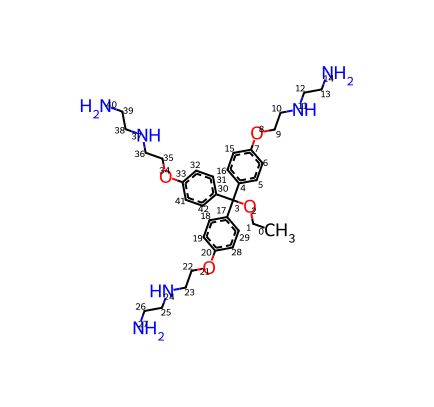 CCOC(c1ccc(OCCNCCN)cc1)(c1ccc(OCCNCCN)cc1)c1ccc(OCCNCCN)cc1